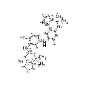 CC1(C)Oc2cc(F)c(Nc3ncc(F)c(N[C@@H]4C[C@@H]5CCCN5C(C)(C)C4)n3)cc2-n2nnnc21